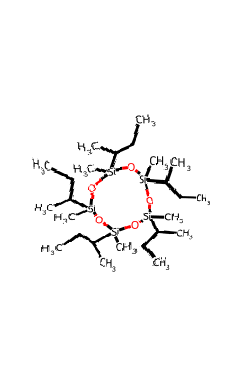 CCC(C)[Si]1(C)O[Si](C)(C(C)CC)O[Si](C)(C(C)CC)O[Si](C)(C(C)CC)O[Si](C)(C(C)CC)O1